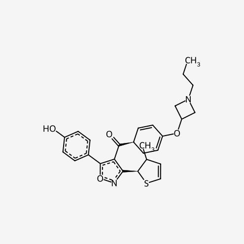 CCCN1CC(OC2=CC[C@@H](C(=O)c3c([C@@H]4SC=CC4C)noc3-c3ccc(O)cc3)C=C2)C1